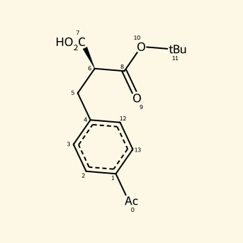 CC(=O)c1ccc(C[C@@H](C(=O)O)C(=O)OC(C)(C)C)cc1